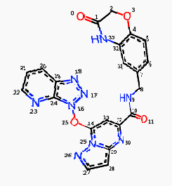 O=C1COc2ccc(CNC(=O)c3cc(On4nnc5cccnc54)n4nccc4n3)cc2N1